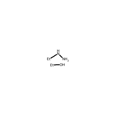 CCNN.CCO